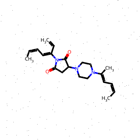 C=C/C(=C\C=C/C)N1C(=O)CC(N2CCN(/C(C)=C/C=C\C)CC2)C1=O